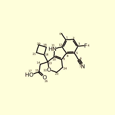 Cc1cc(F)c(C#N)c2c3c([nH]c12)C(CC(=O)O)(C1CCC1)OCC3